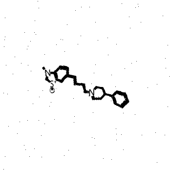 CN1C[S+]([O-])c2cc(CCCCN3CCC(c4ccccc4)CC3)ccc21